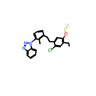 CCc1cc(Cl)c(CCc2cccc(-n3nnc4ccccc43)c2C)cc1OSF